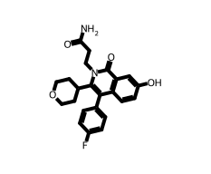 NC(=O)CCn1c(C2CCOCC2)c(-c2ccc(F)cc2)c2ccc(O)cc2c1=O